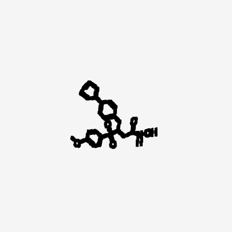 COc1ccc(S(=O)(=O)C(CC(=O)NO)Cc2ccc(-c3ccccc3)cc2)cc1